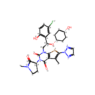 Cc1c(-n2nccn2)sc2c1c(=O)n([C@H]1CCN(C)C1=O)c(=O)n2C[C@H](O[C@H]1CC[C@@H](O)CC1)c1cc(F)ccc1O